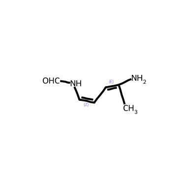 C/C(N)=C\C=C/NC=O